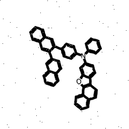 c1ccc(N(c2ccc(-c3cc4ccccc4cc3-c3ccc4ccccc4c3)cc2)c2ccc3c(c2)oc2c4ccccc4ccc32)cc1